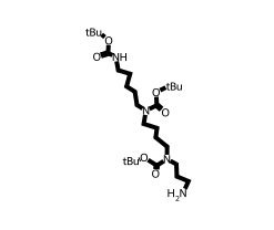 CC(C)(C)OC(=O)NCCCCCN(CCCCN(CCCN)C(=O)OC(C)(C)C)C(=O)OC(C)(C)C